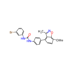 COc1ccc(-c2ccc(NC(=O)Nc3cccc(Br)c3)cc2)c2c(C)noc12